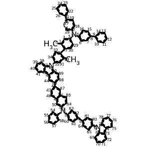 Cc1cc(N(c2ccc(-c3ccccc3)cc2)c2ccc(-c3ccccc3)cc2)ccc1-c1ccc(-n2c3ccccc3c3cc(-c4ccc5cc(N(c6ccccc6)c6ccc(-c7ccc(-n8c9ccccc9c9ccccc98)cc7)cc6)ccc5c4)ccc32)cc1C